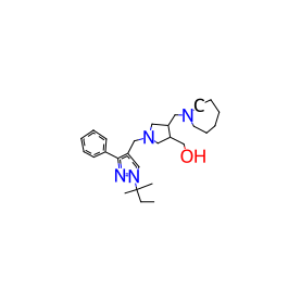 CCC(C)(C)n1cc(CN2CC(CO)C(CN3CCCCCC3)C2)c(-c2ccccc2)n1